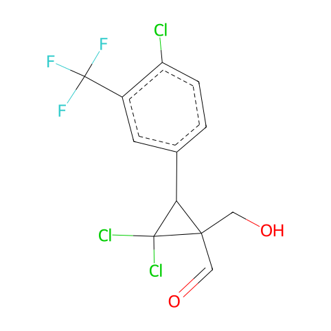 O=CC1(CO)C(c2ccc(Cl)c(C(F)(F)F)c2)C1(Cl)Cl